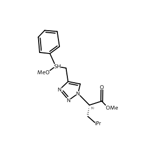 COC(=O)[C@H](CC(C)C)n1cc(C[SH](OC)c2ccccc2)nn1